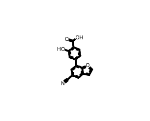 N#Cc1cc(-c2ccc(C(=O)O)c(O)c2)c2occc2c1